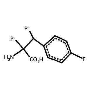 CC(C)C(c1ccc(F)cc1)C(N)(C(=O)O)C(C)C